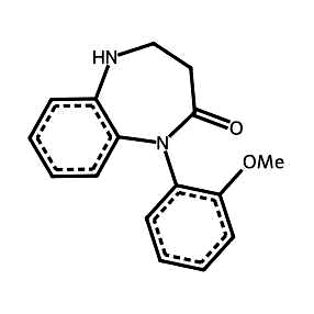 COc1ccccc1N1C(=O)CCNc2ccccc21